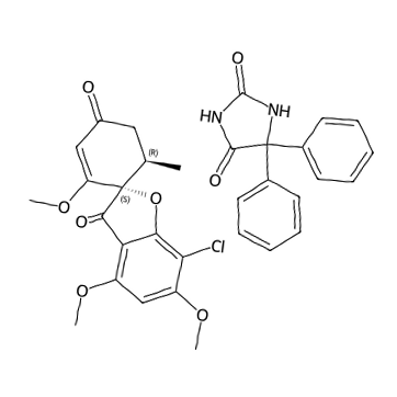 COC1=CC(=O)C[C@@H](C)[C@]12Oc1c(Cl)c(OC)cc(OC)c1C2=O.O=C1NC(=O)C(c2ccccc2)(c2ccccc2)N1